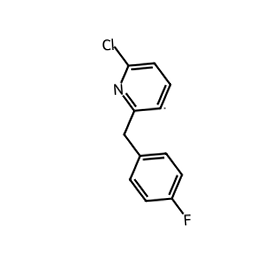 Fc1ccc(Cc2[c]ccc(Cl)n2)cc1